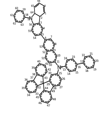 C1=CC2c3cc(-c4ccc5cc(N(c6ccc(-c7ccccc7)cc6)c6ccc7c(c6)C6(c8ccccc8-c8ccccc86)c6ccccc6-7)ccc5c4)ccc3N(c3ccccc3)C2C=C1